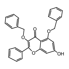 O=c1c(OCc2ccccc2)c(-c2ccccc2)oc2cc(O)cc(OCc3ccccc3)c12